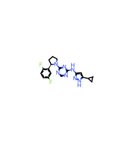 Fc1ccc(F)c([C@H]2CCCN2c2ncnc(Nc3cc(C4CC4)[nH]n3)n2)c1